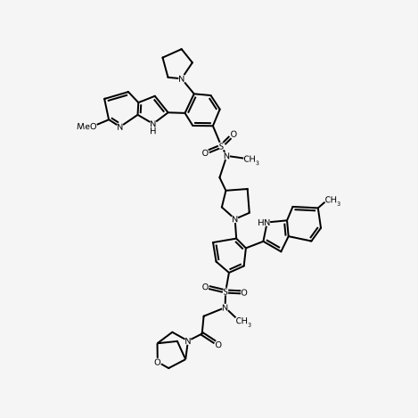 COc1ccc2cc(-c3cc(S(=O)(=O)N(C)CC4CCN(c5ccc(S(=O)(=O)N(C)CC(=O)N6CC7CC6CO7)cc5-c5cc6ccc(C)cc6[nH]5)C4)ccc3N3CCCC3)[nH]c2n1